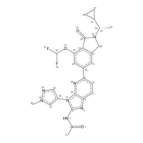 CC(=O)Nc1nc2ccc(-c3cc4c(c(OC(F)F)c3)C(=O)N([C@@H](C)C3CC3)C4)nc2n1-c1cnn(C)c1